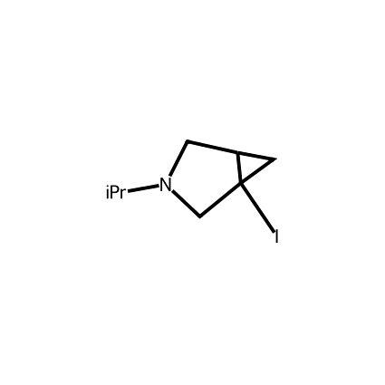 CC(C)N1CC2CC2(I)C1